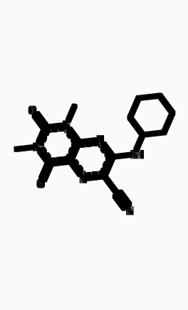 Cn1c(=O)c2nc(C#N)c(NC3CCCCC3)nc2n(C)c1=O